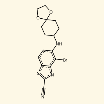 N#Cc1nc2c(Br)c(NC3CCC4(CC3)OCCO4)ccc2s1